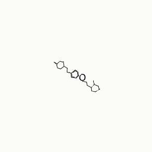 CC1CCC(CCc2ccc(OCCCC3CCCCC3C)cc2)CC1